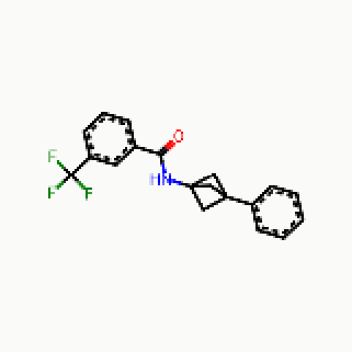 O=C(NC12CC(c3ccccc3)(C1)C2)c1cccc(C(F)(F)F)c1